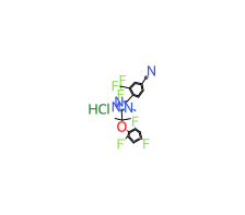 Cl.Cn1c(-c2ccc(C#N)cc2C(F)(F)F)nnc1C(C)(C)Oc1c(F)cc(F)cc1F